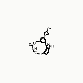 COC1CN(c2cc3cc(c2)-c2n[nH]c4ccc(cc24)OCCCNC(=O)OC3)C1